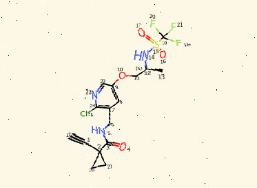 C#CC1(C(=O)NCc2cc(OC[C@H](C)NS(=O)(=O)C(F)(F)F)cnc2Cl)CC1